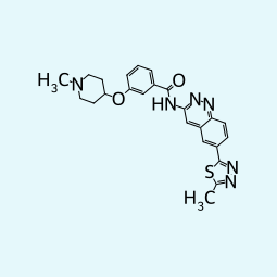 Cc1nnc(-c2ccc3nnc(NC(=O)c4cccc(OC5CCN(C)CC5)c4)cc3c2)s1